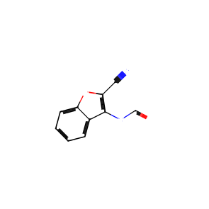 N#Cc1oc2ccccc2c1N[C]=O